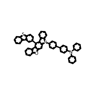 c1ccc(N(c2ccccc2)c2ccc(-c3ccc(-n4c5ccccc5c5c(-c6ccc7sc8ccccc8c7c6)c6c(cc54)oc4ccccc46)cc3)cc2)cc1